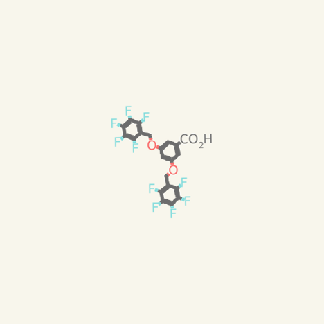 O=C(O)c1cc(OCc2c(F)c(F)c(F)c(F)c2F)cc(OCc2c(F)c(F)c(F)c(F)c2F)c1